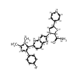 Cc1nc(-c2ccc(F)cc2)c(-c2ccc3nc(N4C=C(c5ccncc5)SC4C(N)=O)cn3n2)n1C